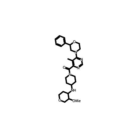 COC1COCCC1NC1CCN(C(=O)c2ncnc(N3CCOC(c4ccccc4)C3)c2C)CC1